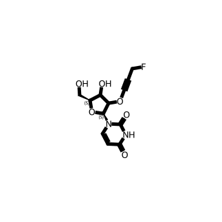 O=c1ccn([C@H]2O[C@@H](CO)C(O)C2OC#CCF)c(=O)[nH]1